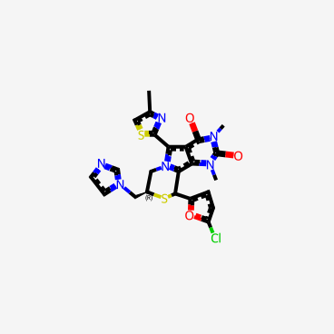 Cc1csc(-c2c3c(=O)n(C)c(=O)n(C)c3c3n2C[C@H](Cn2ccnc2)SC3c2ccc(Cl)o2)n1